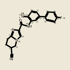 N#CC1CCc2nc(C(=O)Nc3cc(-c4ccc(F)cc4)ccc3N)cn2C1